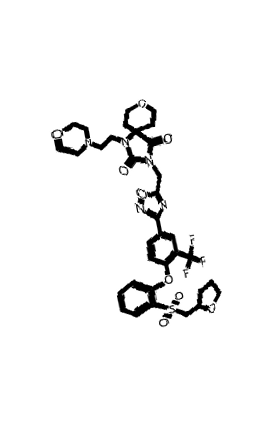 O=C1N(Cc2nc(-c3ccc(Oc4ccccc4S(=O)(=O)CC4CCCO4)c(C(F)(F)F)c3)no2)C(=O)C2(CCOCC2)N1CCN1CCOCC1